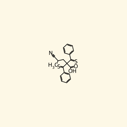 CC(C#N)CC(C(=O)O)(C(=S)c1ccccc1)C(=S)c1ccccc1